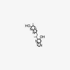 Cc1cn2cc(CC(C)c3nn4ccnc4cc3O)nc2nc1O